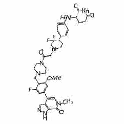 COc1cc(-c2cn(C)c(=O)c3[nH]ncc23)cc(F)c1CN1CCN(C(=O)CN2CCC(c3ccc(NC4CCC(=O)NC4=O)cc3)C(F)(F)C2)CC1